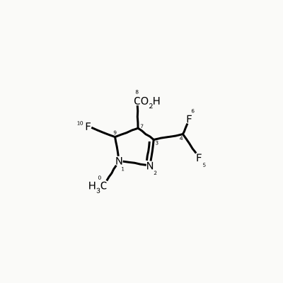 CN1N=C(C(F)F)C(C(=O)O)C1F